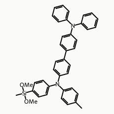 CO[Si](C)(OC)c1ccc(N(c2ccc(C)cc2)c2ccc(-c3ccc(N(c4ccccc4)c4ccccc4)cc3)cc2)cc1